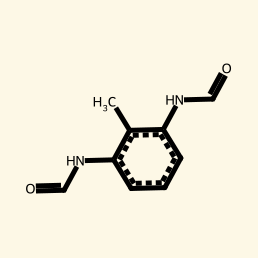 Cc1c(NC=O)cccc1NC=O